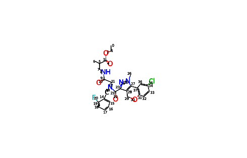 CCOC(=O)C(C)CNC(=O)CN(Cc1ccccc1F)C(=O)c1nn(C)c2c1COc1ccc(Cl)cc1-2